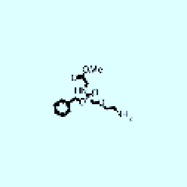 COC(=O)CNP(=O)(COCCN)OCc1ccccc1